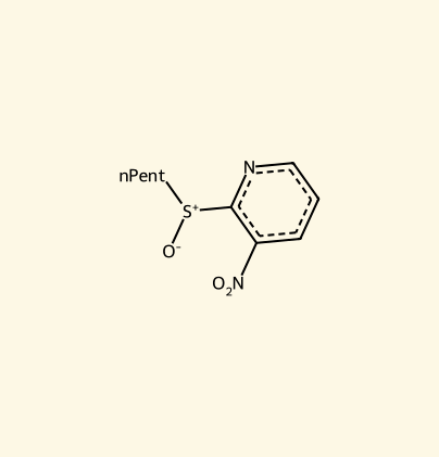 CCCCC[S+]([O-])c1ncccc1[N+](=O)[O-]